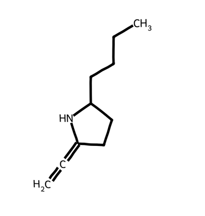 C=C=C1CCC(CCCC)N1